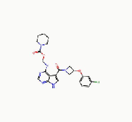 O=C(OCNc1ncnc2[nH]cc(C(=O)N3CC(Oc4cccc(Cl)c4)C3)c12)N1CCCCC1